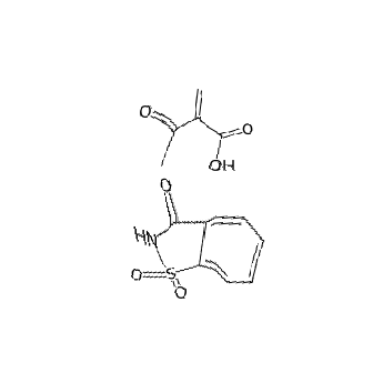 C=C(C(C)=O)C(=O)O.O=C1NS(=O)(=O)c2ccccc21